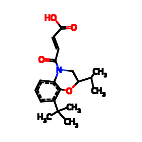 CC(C)C1CN(C(=O)C=CC(=O)O)c2cccc(C(C)(C)C)c2O1